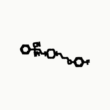 CC(C)C(C#N)(CCN1CCN(CCCOc2ccc(F)cc2)CC1)c1ccccc1